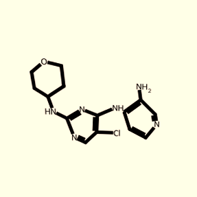 Nc1cnccc1Nc1nc(NC2CCOCC2)ncc1Cl